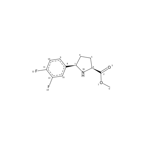 COC(=O)[C@@H]1CC[C@H](c2ccc(F)c(F)c2)N1